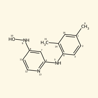 Cc1ccc(Nc2cc(NO)ccn2)c(C)c1